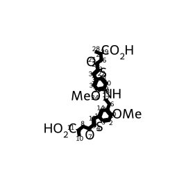 COc1cc2sc(C(=O)C[C@H](C)C(=O)O)cc2cc1CCNc1cc2sc(C(=O)C[C@H](C)C(=O)O)cc2cc1OC